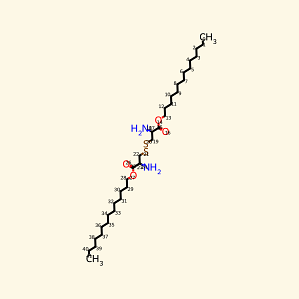 CCCCCCCCCCCCCCOC(=O)C(N)CSSCC(N)C(=O)OCCCCCCCCCCCCCC